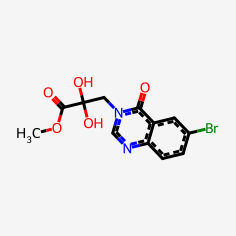 COC(=O)C(O)(O)Cn1cnc2ccc(Br)cc2c1=O